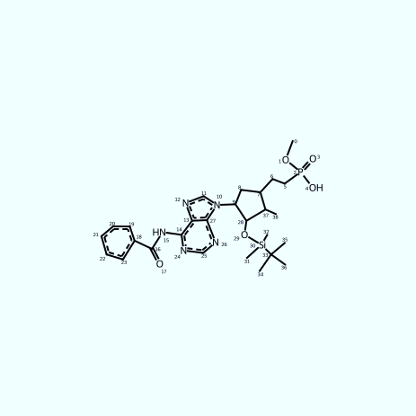 COP(=O)(O)CCC1CC(n2cnc3c(NC(=O)c4ccccc4)ncnc32)C(O[Si](C)(C)C(C)(C)C)C1C